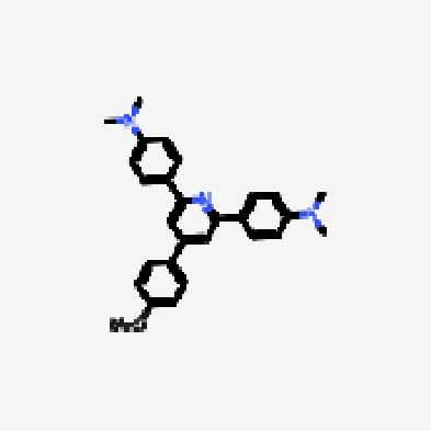 COc1ccc(-c2cc(-c3ccc(N(C)C)cc3)nc(-c3ccc(N(C)C)cc3)c2)cc1